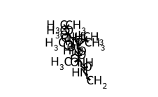 C=CCNC(=O)CNC(=O)C(=O)C(CCC)NC(=O)[C@@H]1C2[C@H](CN1C(=O)[C@@H](NC(=O)OC(C)(C)C)C(C)(C)C)C2(C)C